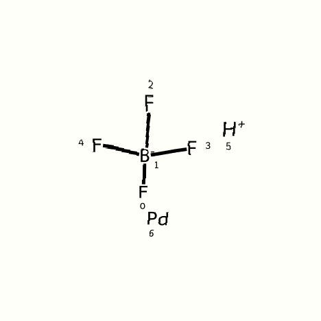 F[B-](F)(F)F.[H+].[Pd]